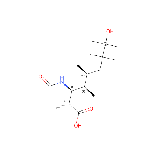 C[C@@H]([C@H](NC=O)[C@@H](C)C(=O)O)[C@@H](C)CC(C)(C)[Si](C)(C)O